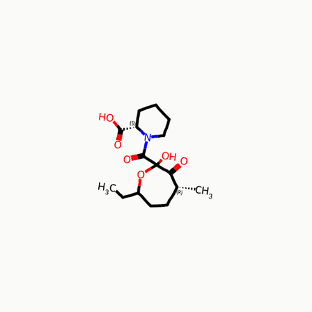 CCC1CC[C@@H](C)C(=O)C(O)(C(=O)N2CCCC[C@H]2C(=O)O)O1